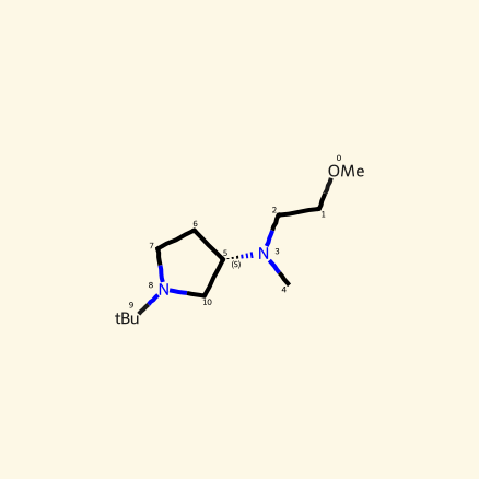 COCCN(C)[C@H]1CCN(C(C)(C)C)C1